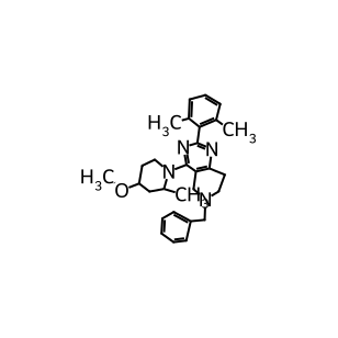 COC1CCN(c2nc(-c3c(C)cccc3C)nc3c2CN(Cc2ccccc2)CC3)C(C)C1